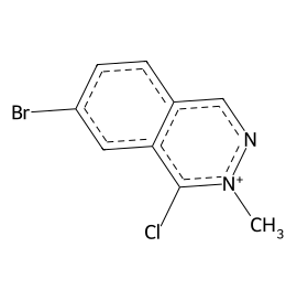 C[n+]1ncc2ccc(Br)cc2c1Cl